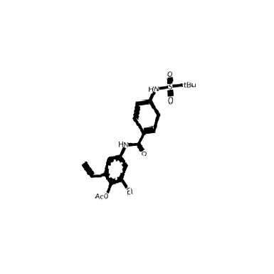 C=Cc1cc(NC(=O)C2=CCC(NS(=O)(=O)C(C)(C)C)C=C2)cc(CC)c1OC(C)=O